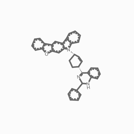 C1=C[C@H](C2=NC(c3ccccc3)Nc3ccccc32)CC[C@@H]1n1c2ccccc2c2cc3c(cc21)oc1ccccc13